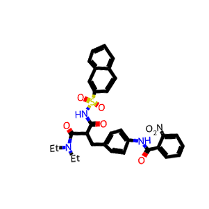 CCN(CC)C(=O)C(Cc1ccc(NC(=O)c2ccccc2[N+](=O)[O-])cc1)C(=O)NS(=O)(=O)c1ccc2ccccc2c1